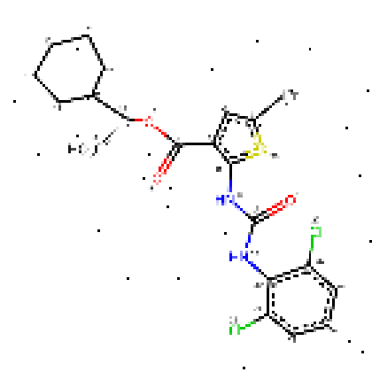 CC(C)c1cc(C(=O)O[C@H](C(=O)O)C2CCCCC2)c(NC(=O)Nc2c(Cl)cccc2Cl)s1